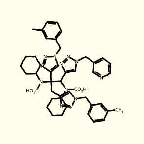 Cc1cccc(Cn2cc(C(Cc3cn(Cc4cccc(C(F)(F)F)c4)nn3)(C(c3cn(Cc4cccnc4)nn3)N(C(=O)O)C3CCCCC3)N(C(=O)O)C3CCCCC3)nn2)c1